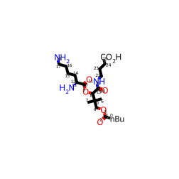 CCCCC(=O)OCC(C)(C)C(OC(=O)[C@@H](N)CCCCN)C(=O)NCCCC(=O)O